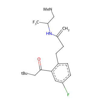 C=C(CCc1ccc(F)cc1C(=O)CC(C)(C)C)NC(CNC)C(F)(F)F